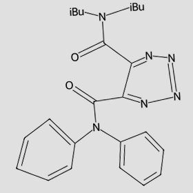 CCC(C)N(C(=O)c1nnnnc1C(=O)N(c1ccccc1)c1ccccc1)C(C)CC